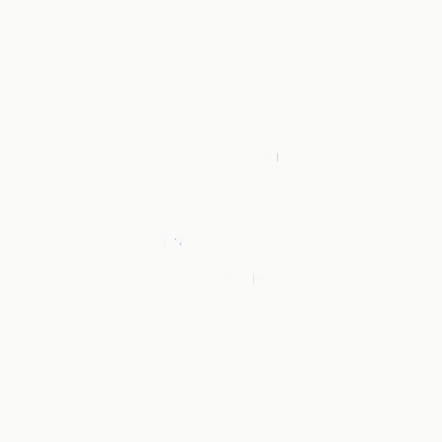 CCOC(=O)C1=CC(C)=CC=CN1